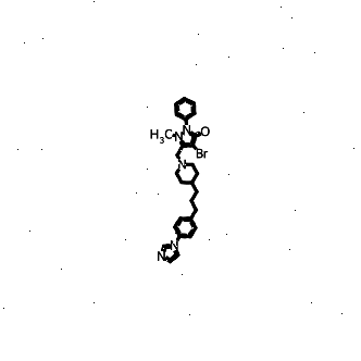 Cn1c(CN2CCC(CCCc3ccc(-n4ccnc4)cc3)CC2)c(Br)c(=O)n1-c1ccccc1